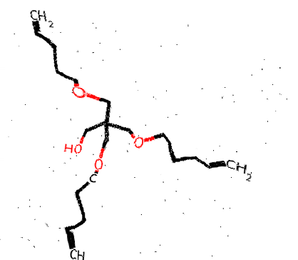 C=CCCCOCC(CO)(COCCCC=C)COCCCC=C